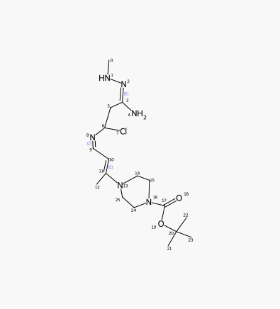 CN/N=C(/N)CC(Cl)/N=C\C=C(/C)N1CCN(C(=O)OC(C)(C)C)CC1